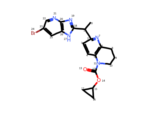 CC(c1ccc2c(n1)CCCN2C(=O)OC1CC1)c1nc2ncc(Br)cc2[nH]1